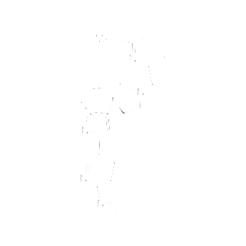 COc1cccc(C(C)N2CC[C@]3(C2)OCCn2nc(-c4cnc(N)c(C(F)(F)F)c4)cc23)n1